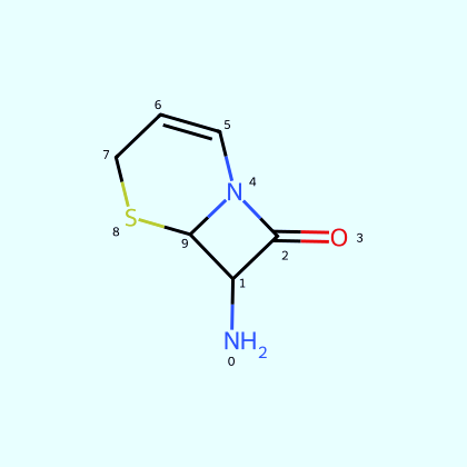 NC1C(=O)N2C=CCSC12